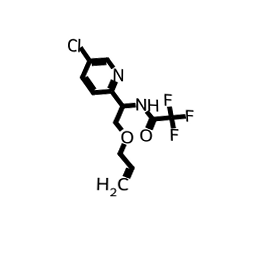 C=CCOCC(NC(=O)C(F)(F)F)c1ccc(Cl)cn1